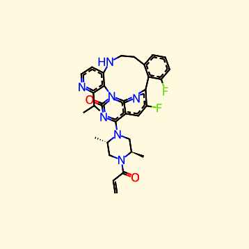 C=CC(=O)N1C[C@H](C)N(c2nc(=O)n3c4nc(c(F)cc24)-c2c(F)cccc2CCNc2ccnc(C(C)C)c2-3)C[C@H]1C